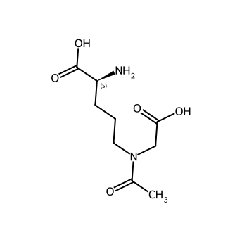 CC(=O)N(CCC[C@H](N)C(=O)O)CC(=O)O